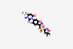 Cn1c(C(F)(F)F)cc(=O)n(-c2cc3onc(CS(=O)(=O)C4=NOC(C)(C)C4)c3cc2F)c1=O